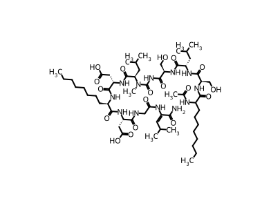 CCCCCCCCC(NC(C)=O)C(=O)N[C@H](CO)C(=O)N[C@@H](CC(C)C)C(=O)N[C@H](CO)C(=O)NC(=O)N(C)[C@H](CC(C)C)C(=O)N[C@@H](CC(=O)O)C(=O)N[C@H](CCCCCCCC)C(=O)N[C@@H](CC(=O)O)C(=O)NCC(=O)N/C(=C/C(C)C)C(N)=O